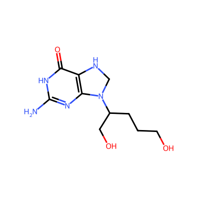 Nc1nc2c(c(=O)[nH]1)NCN2C(CO)CCCO